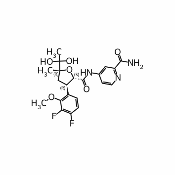 COc1c([C@H]2C[C@](C)(C(C)(O)O)O[C@@H]2C(=O)Nc2ccnc(C(N)=O)c2)ccc(F)c1F